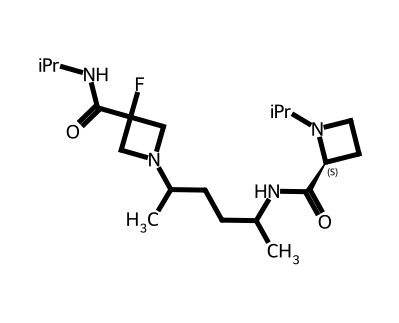 CC(C)NC(=O)C1(F)CN(C(C)CCC(C)NC(=O)[C@@H]2CCN2C(C)C)C1